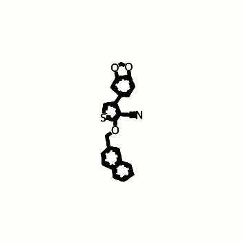 N#Cc1c(-c2ccc3c(c2)OCO3)csc1OCc1ccc2ccccc2c1